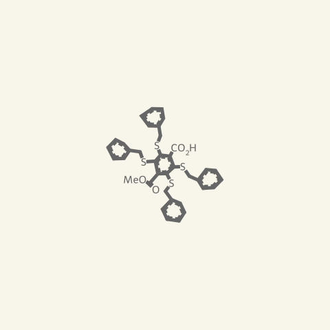 COC(=O)c1c(SCc2ccccc2)c(SCc2ccccc2)c(C(=O)O)c(SCc2ccccc2)c1SCc1ccccc1